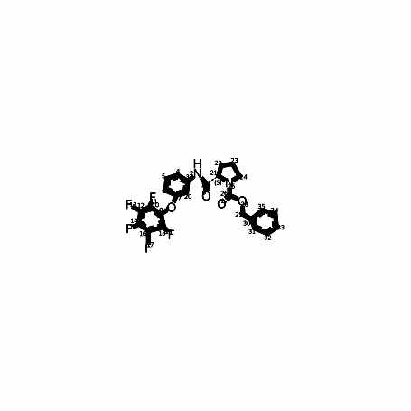 O=C(Nc1cccc(Oc2c(F)c(F)c(F)c(F)c2F)c1)[C@@H]1CCCN1C(=O)OCc1ccccc1